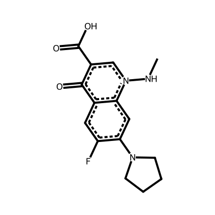 CNn1cc(C(=O)O)c(=O)c2cc(F)c(N3CCCC3)cc21